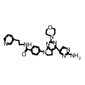 Nc1ncc(-c2nc(N3CCOCC3)nc3c2CCN3c2ccc(C(=O)NCCc3cccnc3)cc2)cn1